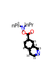 CCCN(CCC)OC(=O)c1ccc2ccncc2c1